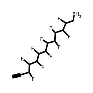 BCC(F)C(F)C(F)C(F)C(F)C(F)C(F)C(F)C(F)C(F)C#C